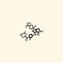 CCC1(n2nc(Nc3ccc(C(=O)N4CCOCC(C)C4)c(C)c3)c3c(=O)[nH]ccc32)CCN(C(=O)O)CC1